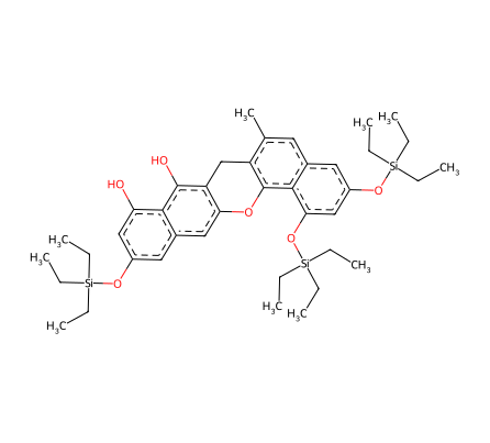 CC[Si](CC)(CC)Oc1cc(O)c2c(O)c3c(cc2c1)Oc1c(c(C)cc2cc(O[Si](CC)(CC)CC)cc(O[Si](CC)(CC)CC)c12)C3